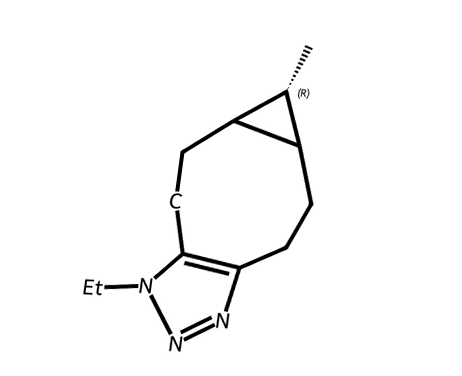 CCn1nnc2c1CCC1C(CC2)[C@H]1C